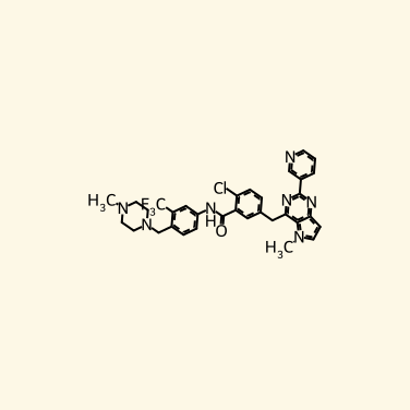 CN1CCN(Cc2ccc(NC(=O)c3cc(Cc4nc(-c5cccnc5)nc5ccn(C)c45)ccc3Cl)cc2C(F)(F)F)CC1